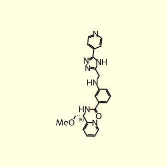 COC[C@H](NC(=O)c1cccc(NCc2nnc(-c3ccncc3)[nH]2)c1)c1ccccn1